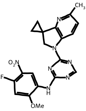 COc1cc(F)c([N+](=O)[O-])cc1Nc1ncnc(N2CC3(CC3)c3nc(C)ccc32)n1